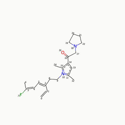 C=C/C(=C\C=C(/C)F)CCn1c(C)cc(C(=O)CN2CCCC2)c1C